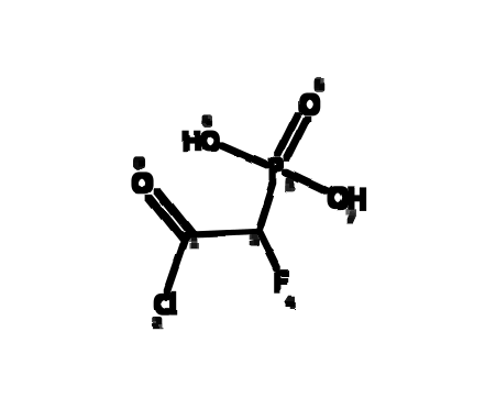 O=C(Cl)C(F)P(=O)(O)O